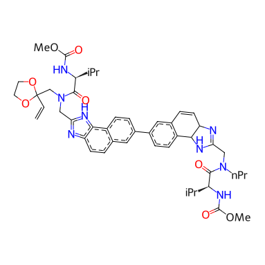 C=CC1(CN(Cc2nc3ccc4cc(-c5ccc6c(c5)C=CC5N=C(CN(CCC)C(=O)[C@@H](NC(=O)OC)C(C)C)NC65)ccc4c3[nH]2)C(=O)[C@@H](NC(=O)OC)C(C)C)OCCO1